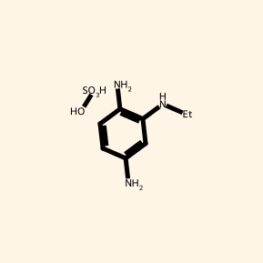 CCNc1cc(N)ccc1N.O=S(=O)(O)O